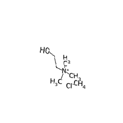 C.C[N+](C)(C)CCO.[Cl-]